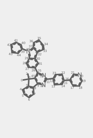 CC1(C)c2ccccc2-c2nc(-c3ccc(-c4cccnc4)cc3)nc(-c3ccc4c(c3)c3ccccc3n4-c3ccccc3)c21